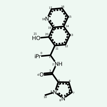 CC(C)C(NC(=O)c1ccnn1C)c1ccc2cccnc2c1O